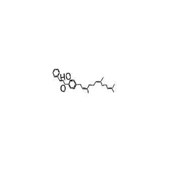 CC(C)=CCCC(C)=CCCC(C)=CCc1ccc(C(=O)C=Cc2ccccc2)c(O)c1